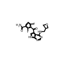 NC(=O)c1ccc(F)c(C(=O)c2c[nH]c3ncnc(NCC4COC4)c23)c1F